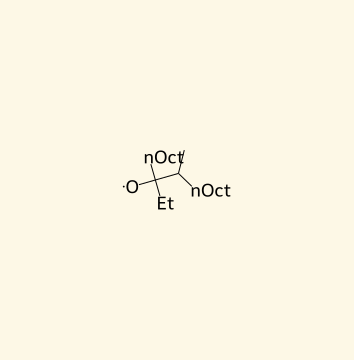 CCCCCCCCC(C)C([O])(CC)CCCCCCCC